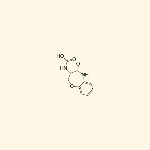 O=C(O)NC1COc2ccccc2NC1=O